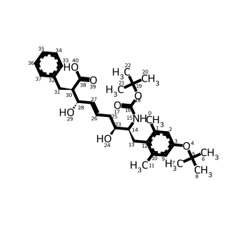 Cc1cc(OC(C)(C)C)cc(C)c1C[C@H](NC(=O)OC(C)(C)C)[C@@H](O)C/C=C/[C@H](O)[C@@H](Cc1ccccc1)C(=O)O